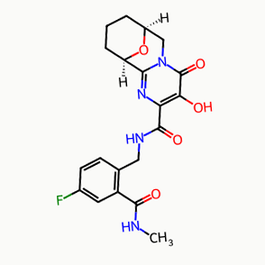 CNC(=O)c1cc(F)ccc1CNC(=O)c1nc2n(c(=O)c1O)C[C@@H]1CCC[C@H]2O1